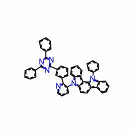 c1ccc(-c2nc(-c3ccccc3)nc(-c3cccc(-c4ncccc4-n4c5ccccc5c5c4ccc4c6ccccc6n(-c6ccccc6)c45)c3)n2)cc1